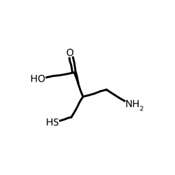 NCC(CS)C(=O)O